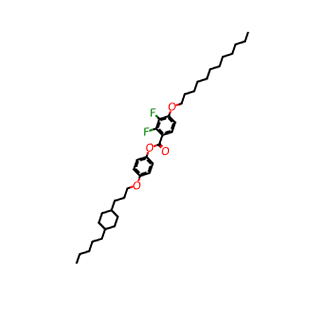 CCCCCCCCCCCCOc1ccc(C(=O)Oc2ccc(OCCCC3CCC(CCCCC)CC3)cc2)c(F)c1F